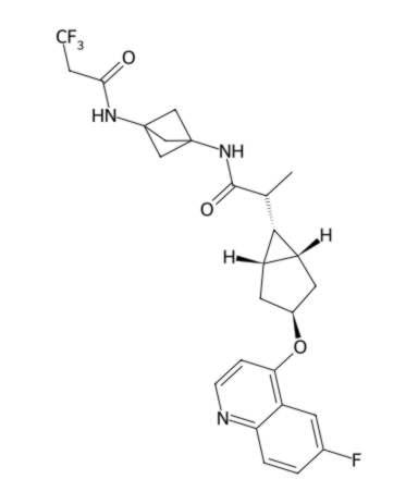 CC(C(=O)NC12CC(NC(=O)CC(F)(F)F)(C1)C2)[C@@H]1[C@@H]2C[C@@H](Oc3ccnc4ccc(F)cc34)C[C@@H]21